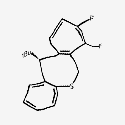 CC(C)(C)[C@@H]1c2ccccc2SCc2c1ccc(F)c2F